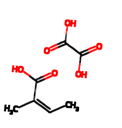 CC=C(C)C(=O)O.O=C(O)C(=O)O